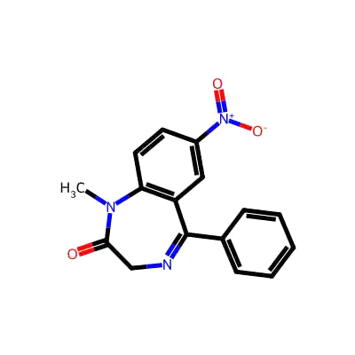 CN1C(=O)CN=C(c2ccccc2)c2cc([N+](=O)[O-])ccc21